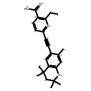 CCc1nc(C#Cc2cc3c(cc2C)OC(C)(C)CC3(C)C)ccc1C(=O)O